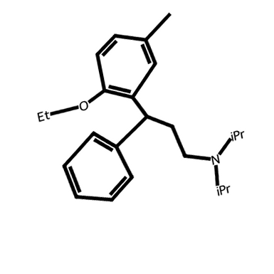 CCOc1ccc(C)cc1C(CCN(C(C)C)C(C)C)c1ccccc1